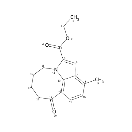 CCOC(=O)c1cc2c(C)ccc3c2n1CCCCC3=O